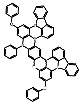 c1ccc(Oc2cc3c4c(c2)-n2c5ccccc5c5cccc(c52)B4c2cc4c(cc2O3)N(c2ccccc2)c2cc(Oc3ccccc3)cc3c2B4c2cccc4c5ccccc5n-3c24)cc1